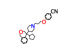 N#Cc1ccc(OCCCN2CCC(C3(C4CCCC4)COCc4ccccc43)CC2)cc1